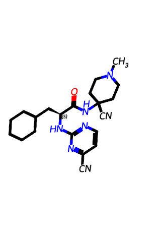 CN1CCC(C#N)(NC(=O)[C@H](CC2CCCCC2)Nc2nccc(C#N)n2)CC1